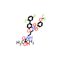 CC(C)(O)C(=O)NCCC1CN(S(=O)(=O)c2cccc(OC(F)F)c2)c2cc(-c3cc(F)ccc3F)ccc2O1